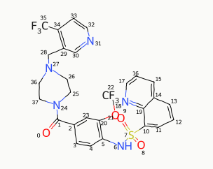 O=C(c1ccc(NS(=O)(=O)c2cccc3cccnc23)c(OC(F)(F)F)c1)N1CCN(Cc2cnccc2C(F)(F)F)CC1